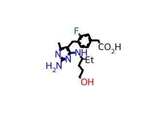 CC[C@@H](CCCO)Nc1nc(N)nc(C)c1Cc1ccc(CC(=O)O)cc1F